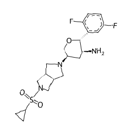 N[C@H]1C[C@@H](N2CC3CN(S(=O)(=O)C4CC4)CC3C2)CO[C@@H]1c1cc(F)ccc1F